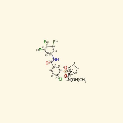 CN(O)[C@@H]1CC2CCC1[C@@H]2S(=O)(=O)c1cc(C(=O)Nc2cc(F)c(F)c(F)c2)ccc1Cl